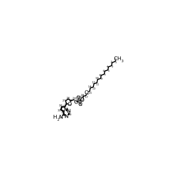 CCCCCCCCCCCCCCCCOCCOP(=O)(O)OCC1CCC(c2ccc3c(N)ncnn23)O1